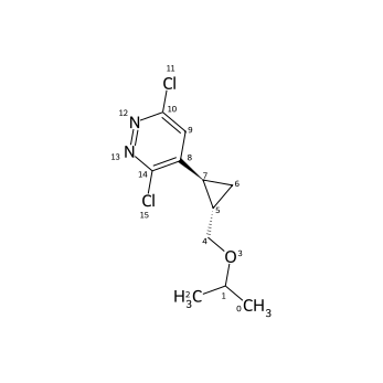 CC(C)OC[C@H]1C[C@@H]1c1cc(Cl)nnc1Cl